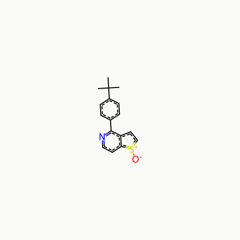 CC(C)(C)c1ccc(-c2nccc3c2cc[s+]3[O-])cc1